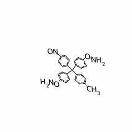 Cc1ccc(C(c2ccc(N=O)cc2)(c2ccc(ON)cc2)c2ccc(ON)cc2)cc1